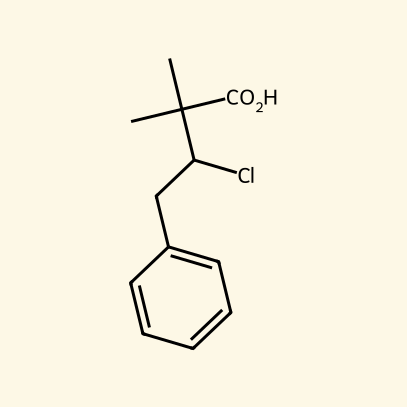 CC(C)(C(=O)O)C(Cl)Cc1ccccc1